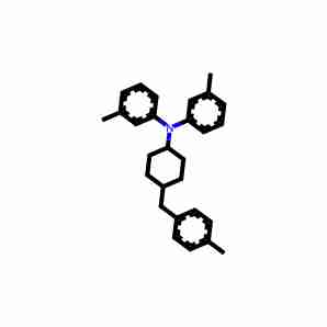 Cc1ccc(CC2CCC(N(c3cccc(C)c3)c3cccc(C)c3)CC2)cc1